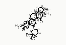 CCC1(CC)CN([C@H]2C[C@@]3(C)[C@@H](CC[C@H]4[C@@H]5CC[C@H](C(C)=O)[C@@]5(C)CC(=O)[C@@H]43)C[C@@H]2OS(C)(=O)=O)CCO1